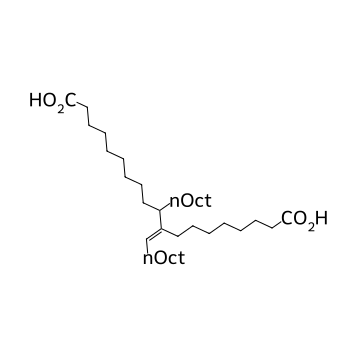 CCCCCCCC/C=C(\CCCCCCCC(=O)O)C(CCCCCCCC)CCCCCCCCC(=O)O